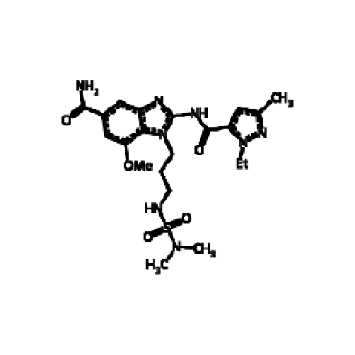 CCn1nc(C)cc1C(=O)Nc1nc2cc(C(N)=O)cc(OC)c2n1CCCNS(=O)(=O)N(C)C